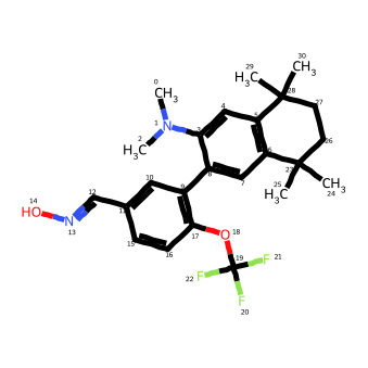 CN(C)c1cc2c(cc1-c1cc(/C=N/O)ccc1OC(F)(F)F)C(C)(C)CCC2(C)C